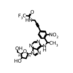 CC(Nc1ncnc2c1ncn2[C@H]1CC(O)[C@@H](CO)O1)c1ccc(C#CCNC(=O)C(F)(F)F)cc1[N+](=O)[O-]